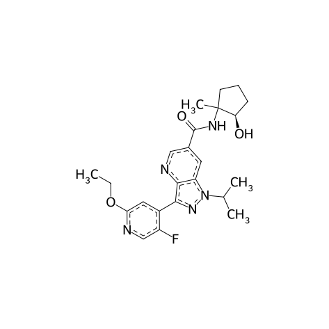 CCOc1cc(-c2nn(C(C)C)c3cc(C(=O)NC4(C)CCC[C@H]4O)cnc23)c(F)cn1